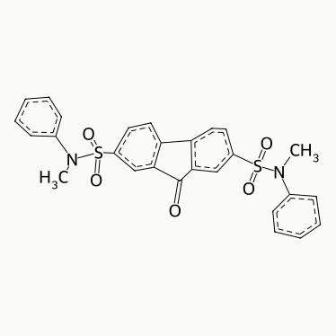 CN(c1ccccc1)S(=O)(=O)c1ccc2c(c1)C(=O)c1cc(S(=O)(=O)N(C)c3ccccc3)ccc1-2